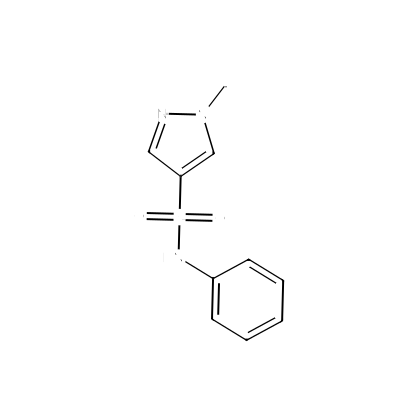 O=S(=O)(Nc1ccccc1)c1cnn(I)c1